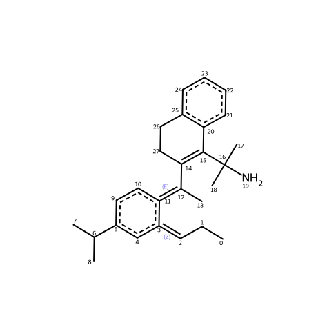 CC/C=c1/cc(C(C)C)cc/c1=C(/C)C1=C(C(C)(C)N)c2ccccc2CC1